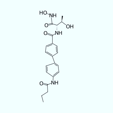 CCCC(=O)Nc1ccc(-c2ccc(C(=O)N[C@H](C(=O)NO)[C@@H](C)O)cc2)cc1